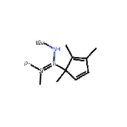 CC1=C(C)[C](C)([Ti]([NH]C(C)(C)C)=[Si](C)C(C)C)C=C1